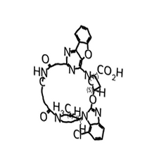 C[C@H]1CN2CC[C@@H]1n1c(nc3cccc(Cl)c31)O[C@H]1C[C@@H](C(=O)O)N(C1)c1nc(nc3c1oc1ccccc13)CC(=O)NCCCC2=O